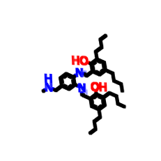 CCCCc1cc(/C=N/c2ccc(CNC)cc2/N=C/c2cc(CCCC)cc(CCCC)c2O)c(O)c(CCCC)c1